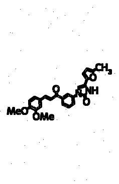 COc1ccc(C=CC(=O)c2cccc(-n3cc(-c4ccc(C)o4)[nH]c3=O)c2)cc1OC